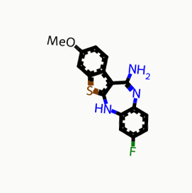 COc1ccc2c3c(sc2c1)Nc1cc(F)ccc1N=C3N